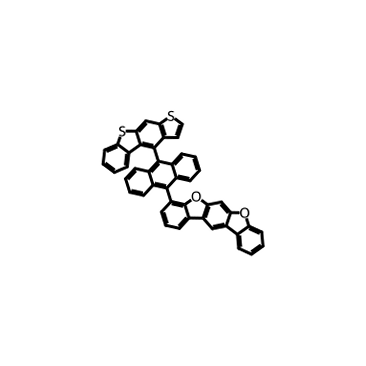 c1ccc2c(c1)oc1cc3oc4c(-c5c6ccccc6c(-c6c7ccsc7cc7sc8ccccc8c67)c6ccccc56)cccc4c3cc12